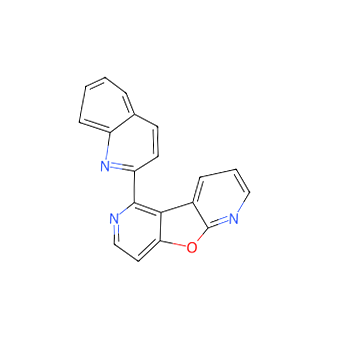 c1ccc2nc(-c3nccc4oc5ncccc5c34)ccc2c1